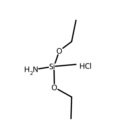 CCO[Si](C)(N)OCC.Cl